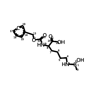 CB(O)NCCCCC(NC(=O)OCc1ccccc1)C(=O)O